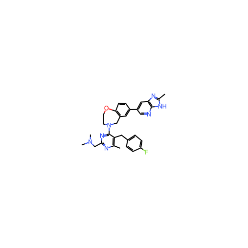 Cc1nc2cc(-c3ccc4c(c3)CN(c3nc(CN(C)C)nc(C)c3Cc3ccc(F)cc3)CCO4)cnc2[nH]1